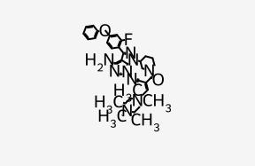 CC1CN(C(C)(C)/C=C(\C#N)C(=O)N2CCCC(n3nc(-c4ccc(Oc5ccccc5)cc4F)c4c(N)ncnc43)C2)CC(C)N1C